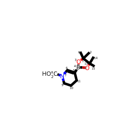 CC1(C)OB(C2=CN(C(=O)O)CCC2)OC1(C)C